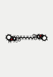 C[C@@]12CCCCCC(Cc3ccc(OC(=O)CCCCCCCCC(=O)Oc4ccc5c(c4)[C@@]4(C)CCCCC[C@@H](C5)[C@@H]4N)cc31)[C@@H]2N